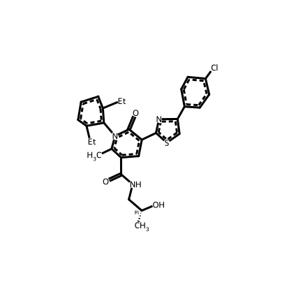 CCc1cccc(CC)c1-n1c(C)c(C(=O)NC[C@@H](C)O)cc(-c2nc(-c3ccc(Cl)cc3)cs2)c1=O